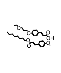 CCCCCCCCOC(=O)C=Cc1ccc(OC)cc1.CCOCCCOc1ccc(C=CC(=O)O)cc1